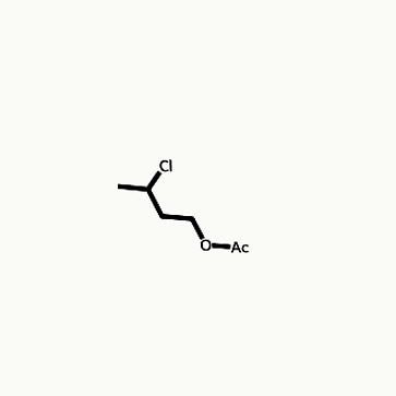 [CH2]C(=O)OCCC(C)Cl